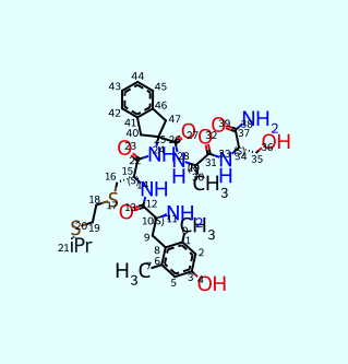 Cc1cc(O)cc(C)c1C[C@H](N)C(=O)N[C@H](CSCCSC(C)C)C(=O)NC1(C(=O)N[C@H](C)C(=O)N[C@@H](CO)C(N)=O)Cc2ccccc2C1